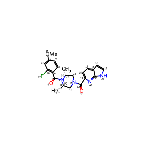 COc1ccc(C(=O)N2[C@H](C)CN(C(=O)c3ccc4cc[nH]c4n3)C[C@H]2C)c(F)c1